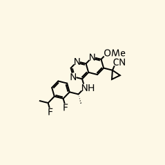 COc1nc2ncnc(N[C@H](C)c3cccc(C(C)F)c3F)c2cc1C1(C#N)CC1